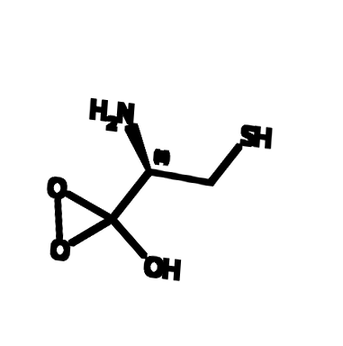 N[C@@H](CS)C1(O)OO1